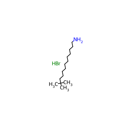 Br.CC(C)(C)CCCCCCCCCCCN